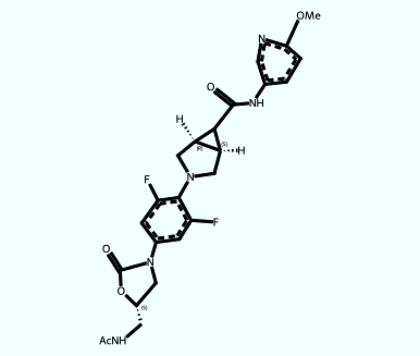 COc1ccc(NC(=O)C2[C@H]3CN(c4c(F)cc(N5C[C@H](CNC(C)=O)OC5=O)cc4F)C[C@@H]23)cn1